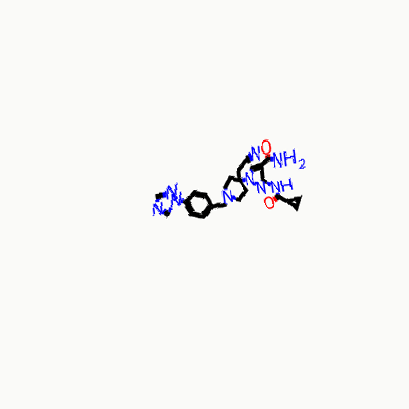 N#CCC1(n2cc(C(N)=O)c(NC(=O)C3CC3)n2)CCN(Cc2ccc(-n3cncn3)cc2)CC1